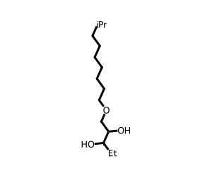 CC[C](O)C(O)COCCCCCCCC(C)C